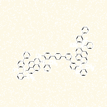 CC1=C(N(c2cc(-c3ccccc3)ccc2C(C)(C)C)c2ccc3ccc4c(N(c5ccccc5C)c5cc(-c6cccc(-c7ccc(-c8ccc(C(C)C)c(N(c9ccccc9C)c9ccc%10ccc%11c(N(c%12ccccc%12C)c%12cc(-c%13ccccc%13)ccc%12C(C)C)ccc%12ccc9c%10c%12%11)c8)cc7)c6)ccc5C(C)(C)C)ccc5ccc2c3c54)C=CCC1